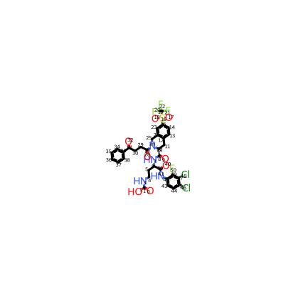 O=C(O)NCCC(NC(=O)[C@@H]1Cc2ccc(S(=O)(=O)C(F)(F)F)cc2CN1C(=O)CCC(=O)c1ccccc1)C(=O)Nc1ccc(Cl)c(Cl)c1F